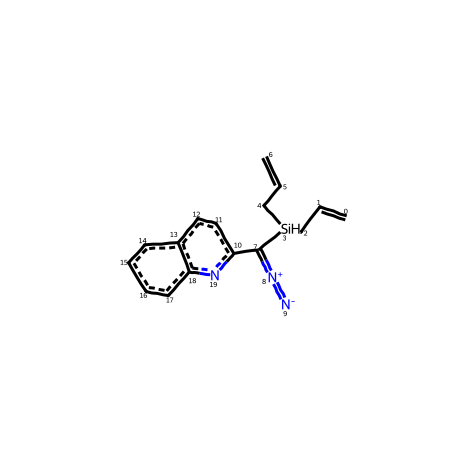 C=CC[SiH](CC=C)C(=[N+]=[N-])c1ccc2ccccc2n1